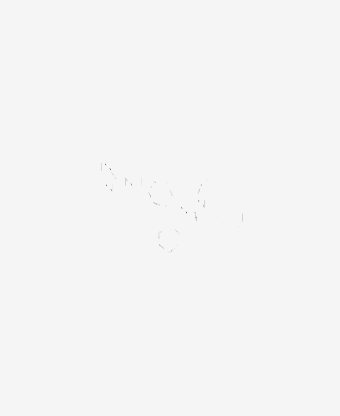 CC1(c2ccc(CNC(=N)N)cc2)C(=O)N(CC(=O)O)C(=O)N1Cc1ccccc1